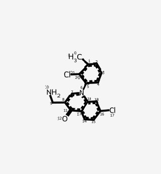 Cc1cccc(-n2cc(CN)c(=O)c3ccc(Cl)cc32)c1Cl